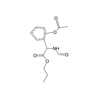 CCCOC(=O)C(NC=O)c1ccccc1OC(C)=O